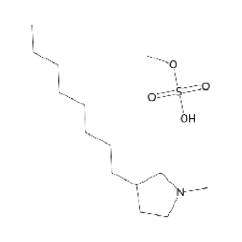 CCCCCCCCC1CCN(C)C1.COS(=O)(=O)O